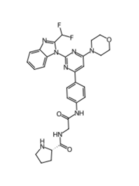 O=C(CNC(=O)[C@@H]1CCCN1)Nc1ccc(-c2cc(N3CCOCC3)nc(-n3c(C(F)F)nc4ccccc43)n2)cc1